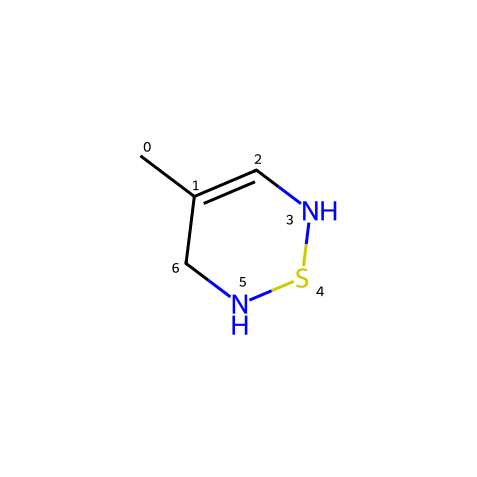 CC1=CNSNC1